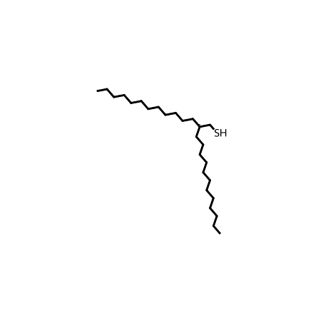 CCCCCCCCCCCC[C](CS)CCCCCCCCCCCC